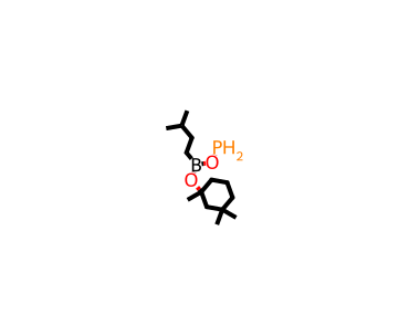 CC(C)CCB(OP)OC1(C)CCCC(C)(C)C1